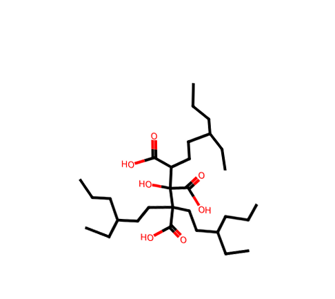 CCCC(CC)CCC(C(=O)O)C(O)(C(=O)O)C(CCC(CC)CCC)(CCC(CC)CCC)C(=O)O